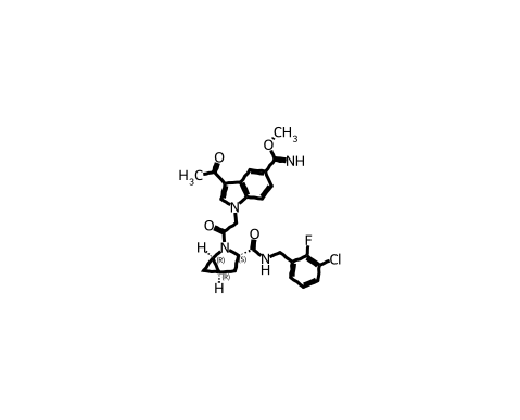 COC(=N)c1ccc2c(c1)c(C(C)=O)cn2CC(=O)N1[C@@H]2C[C@@H]2C[C@H]1C(=O)NCc1cccc(Cl)c1F